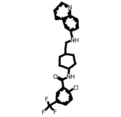 O=C(NC1CCC(CNc2ccc3ncccc3c2)CC1)c1cc(C(F)(F)F)ccc1Cl